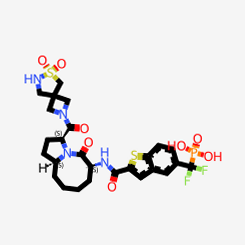 O=C(N[C@H]1CCCC[C@H]2CC[C@@H](C(=O)N3CC4(CNS(=O)(=O)C4)C3)N2C1=O)c1cc2cc(C(F)(F)P(=O)(O)O)ccc2s1